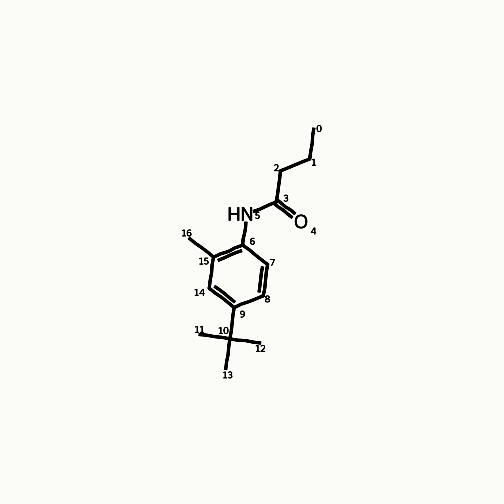 CCCC(=O)Nc1ccc(C(C)(C)C)cc1C